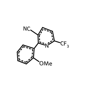 COc1ccccc1-c1nc(C(F)(F)F)ccc1C#N